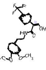 COc1ccc(CCNC(=O)/C(=C\O)c2ccc(C(F)(F)F)cc2)cc1OC